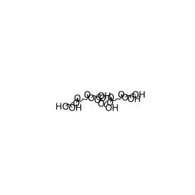 O=C(CCCC(=O)OCC(CO)OC(=O)OC(CO)COC(=O)CCCC(=O)OCC(O)CO)OCC(O)CO